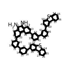 Nc1c(N)c2ccc(-c3cccc(-c4cccc(-c5ccc6sc7ccccc7c6c5)c4)c3)cc2c2cc(-c3cccc(-c4cccc(-c5ccc6sc7ccccc7c6c5)c4)c3)ccc12